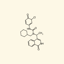 CC(c1c[nH]c(=O)c2ccccc12)N(CC1CCCCC1)C(=O)NC1=CC(Cl)C(=O)C=C1